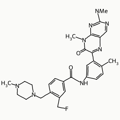 CNc1ncc2nc(-c3cc(NC(=O)c4ccc(CN5CCN(C)CC5)c(CF)c4)ccc3C)c(=O)n(C)c2n1